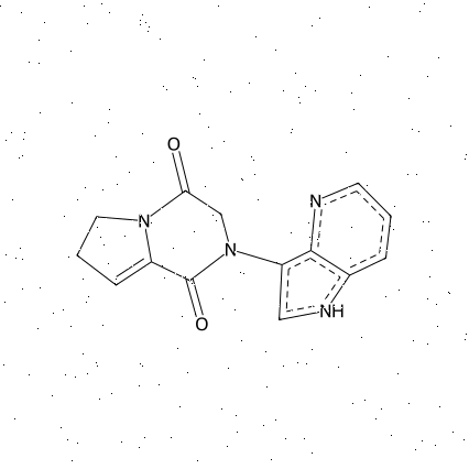 O=C1CN(c2c[nH]c3cccnc23)C(=O)C2=CCCN12